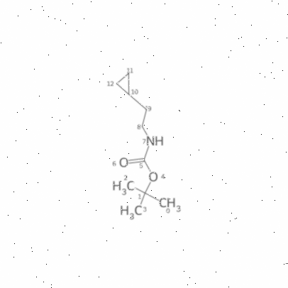 CC(C)(C)OC(=O)NC[CH]C1CC1